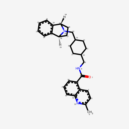 Cc1ccc2c(C(=O)NCC3CCC(CN4[C@H]5CC[C@H]4c4ccccc45)CC3)cccc2n1